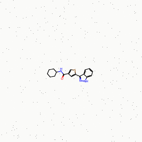 O=C(NC1CCCCC1)c1csc(-c2n[nH]c3ccccc23)c1